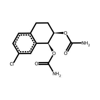 NC(=O)O[C@@H]1CCc2ccc(Cl)cc2[C@@H]1OC(N)=O